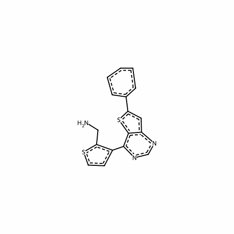 NCc1sccc1-c1ncnc2cc(-c3ccccc3)sc12